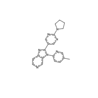 Cc1ccc(-n2c(-c3cnc(N4CCCC4)nc3)nc3ccncc32)nc1